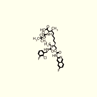 CC(CCCCC[C@@H](COC(=O)Nc1cc2cc(F)ccc2cn1)N(C)C(=O)NCc1cccc(F)c1Cl)[C@@H](NC(=O)OC(C)(C)C)C(=O)O